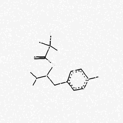 CC(C)C(Cc1ccc(F)cc1)NC(=O)C(F)(F)F